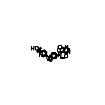 CC(C)(O)c1ccc(-n2ccc3cc(N4CCOc5ncnc(Cl)c5C4=O)ccc32)cn1